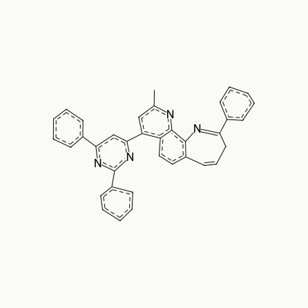 Cc1cc(-c2cc(-c3ccccc3)nc(-c3ccccc3)n2)c2ccc3c(c2n1)N=C(c1ccccc1)CC=C3